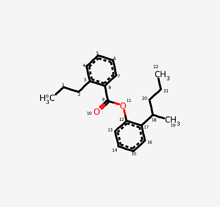 CCCc1ccccc1C(=O)Oc1ccccc1C(C)CCC